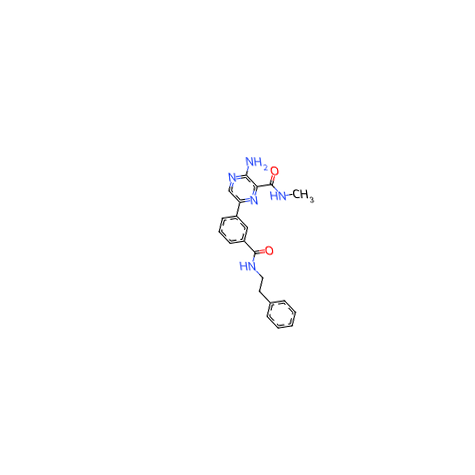 CNC(=O)c1nc(-c2cccc(C(=O)NCCc3ccccc3)c2)cnc1N